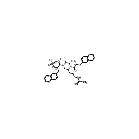 CCS(=O)(=O)N[C@H](Cc1ccc2ccccc2c1)C(=O)N1CC(CCCNC(=N)N)N(C(=O)[C@H](N)Cc2ccc3ccccc3c2)CC1C